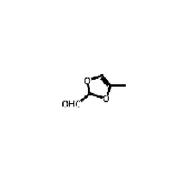 CC1=COC(C=O)O1